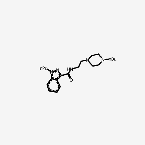 CCCCN1CCN(CCNC(=O)c2nn(CCC)c3ccccc23)CC1